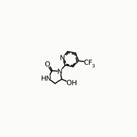 O=C1NCC(O)N1c1cc(C(F)(F)F)ccn1